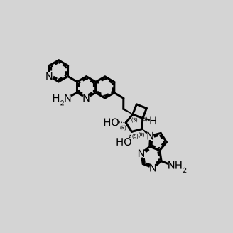 Nc1nc2cc(CC[C@@]34CC[C@@H]3[C@@H](n3ccc5c(N)ncnc53)[C@H](O)[C@@H]4O)ccc2cc1-c1cccnc1